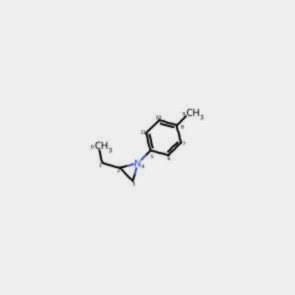 CCC1CN1c1ccc(C)cc1